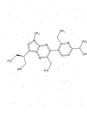 CCc1nc(C(C)C)ccc1-c1nc2c(nc1CC)c([C@H](CC)CO)cn2C